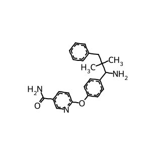 CC(C)(Cc1ccccc1)C(N)c1ccc(Oc2ccc(C(N)=O)cn2)cc1